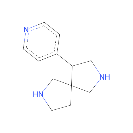 c1cc(C2CNCC23CCNC3)ccn1